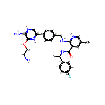 CC(NC(=O)c1cc(C#N)cnc1NCc1ccc(-c2cnc(N)c(OCCN)n2)cc1)c1ccc(F)cc1